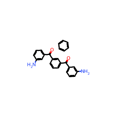 Nc1cccc(C(=O)c2cccc(C(=O)c3cccc(N)c3)c2)c1.c1ccccc1